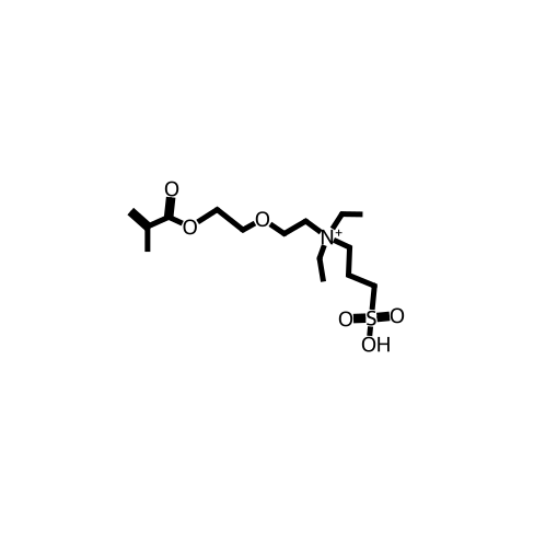 C=C(C)C(=O)OCCOCC[N+](CC)(CC)CCCS(=O)(=O)O